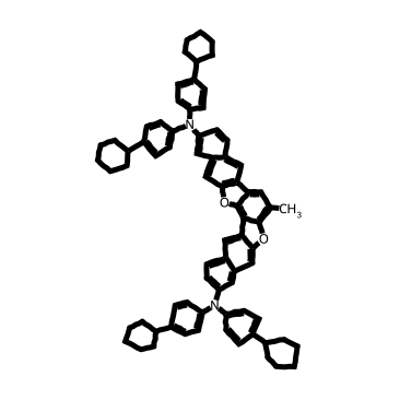 Cc1cc2c3cc4ccc(N(c5ccc(C6CCCCC6)cc5)c5ccc(C6CCCCC6)cc5)cc4cc3oc2c2c1oc1cc3cc(N(c4ccc(C5CCCCC5)cc4)c4ccc(C5CCCCC5)cc4)ccc3cc12